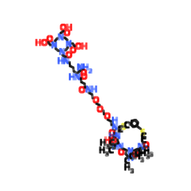 CC[C@H](C)[C@@H]1NC(=O)[C@H](CC(C)C)NC(=O)C(C)(C)NC(=O)CCSCc2cccc(c2)CSC[C@@H](C(=O)NCCCOCCOCCOCCCNC(=O)CCC(=O)N[C@@H](CCCCNC(=O)CN2CCN(CC(=O)O)CCN(CC(=O)O)CCN(CC(=O)O)CC2)C(N)=O)NC1O